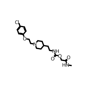 CNC(=O)COC(=O)NCCC1CCN(CCOc2ccc(Cl)cc2)CC1